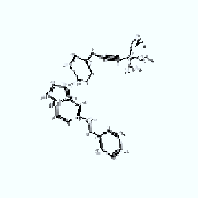 C[Si](C)(C)C#CC[C@H]1CC[C@H](c2cnn3ccc(OCc4ccccc4)cc23)CC1